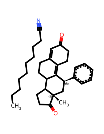 CCCCCCCCCC#N.C[C@]12C[C@H](c3ccccc3)C3=C4CCC(=O)C=C4CCC3C1CCC2=O